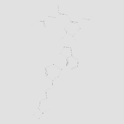 CCOc1cc(O[C@H]2CCc3c(-c4cccc(OCCCN5CCC5(C)C)c4C)cccc32)c(Cl)cc1CN(C)CCC(=O)OC